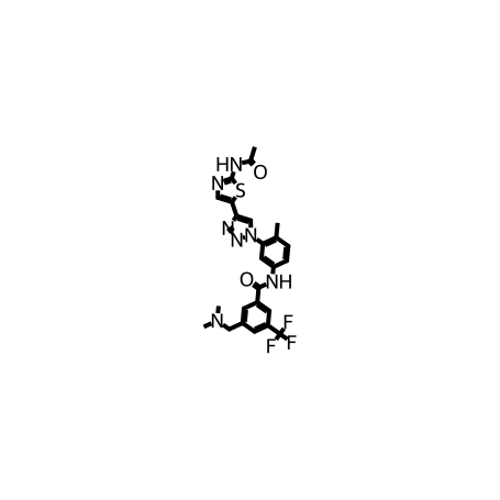 CC(=O)Nc1ncc(-c2cn(-c3cc(NC(=O)c4cc(CN(C)C)cc(C(F)(F)F)c4)ccc3C)nn2)s1